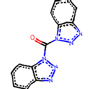 O=C(n1nnc2ccccc21)n1nnc2ccccc21